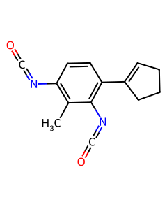 Cc1c(N=C=O)ccc(C2=CCCC2)c1N=C=O